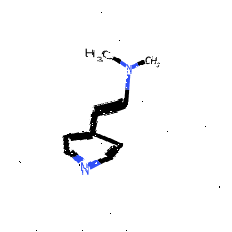 CN(C)/C=C/c1ccncc1